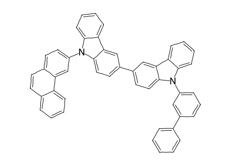 c1ccc(-c2cccc(-n3c4ccccc4c4cc(-c5ccc6c(c5)c5ccccc5n6-c5ccc6ccc7ccccc7c6c5)ccc43)c2)cc1